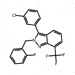 Fc1ccccc1Cn1nc2c(C(F)(F)F)cccc2c1-c1cccc(Cl)c1